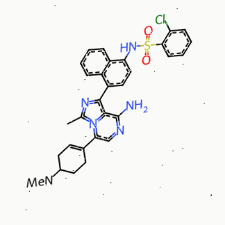 CNC1CC=C(c2cnc(N)c3c(-c4ccc(NS(=O)(=O)c5ccccc5Cl)c5ccccc45)nc(C)n23)CC1